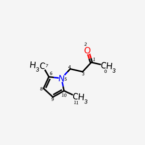 CC(=O)CCn1c(C)ccc1C